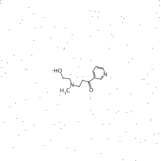 CN(CCO)CCC(=O)c1cccnc1